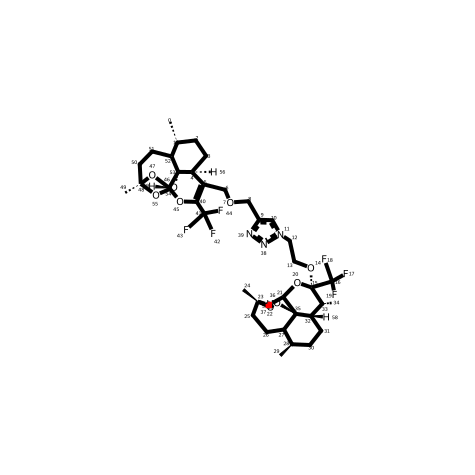 C[C@@H]1CC[C@H]2C(COCc3cn(CCO[C@@]4(C(F)(F)F)O[C@@H]5O[C@]6(C)CCC7[C@H](C)CC[C@@H]([C@H]4C)[C@]75OO6)nn3)=C(C(F)(F)F)O[C@@H]3O[C@]4(C)CCC1[C@]32OO4